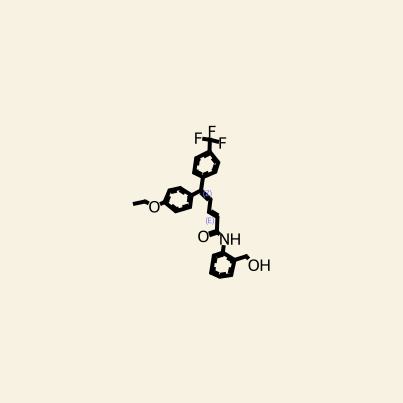 CCOc1ccc(/C(=C\C=C\C(=O)Nc2ccccc2CO)c2ccc(C(F)(F)F)cc2)cc1